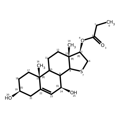 CCC(=O)O[C@H]1CSC2C3C(CC[C@@]21C)[C@@]1(C)CC[C@H](O)CC1=C[C@@H]3O